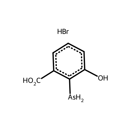 Br.O=C(O)c1cccc(O)c1[AsH2]